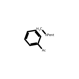 CC(=O)c1ccccc1.CCCCCC